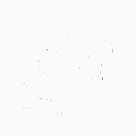 COc1ccccc1C(=O)CC(C(=O)O)c1c[nH]c2ccccc12